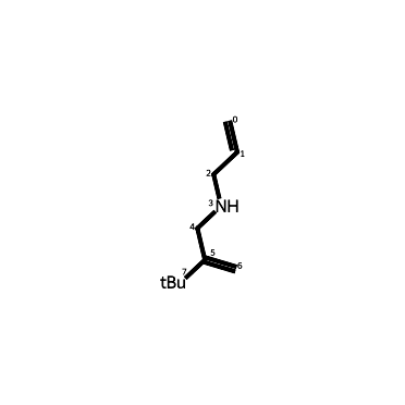 C=CCNCC(=C)C(C)(C)C